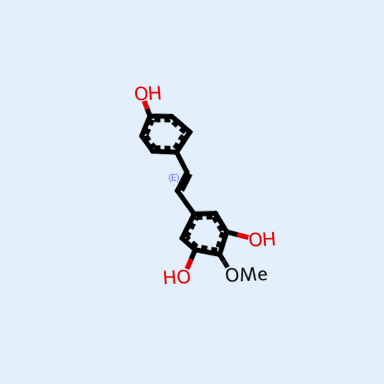 COc1c(O)cc(/C=C/c2ccc(O)cc2)cc1O